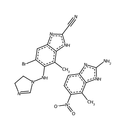 Cc1c(NN2C=NCC2)c(Br)cc2nc(C#N)[nH]c12.Cc1c([N+](=O)[O-])ccc2nc(N)[nH]c12